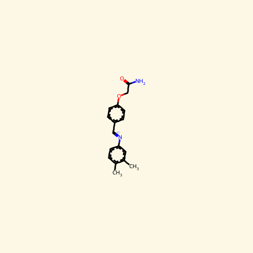 Cc1ccc(/N=C/c2ccc(OCC(N)=O)cc2)cc1C